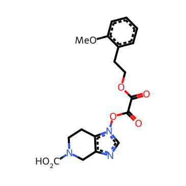 COc1ccccc1CCOC(=O)C(=O)On1cnc2c1CCN(C(=O)O)C2